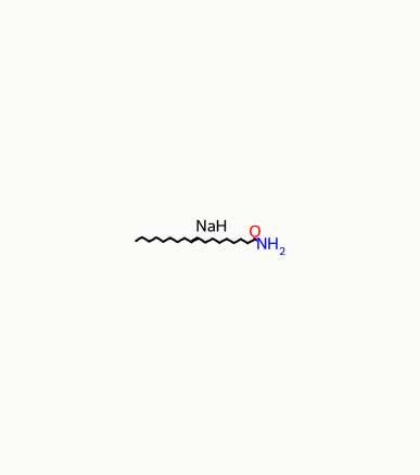 CCCCCCCCC=CCCCCCCCC(N)=O.[NaH]